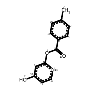 Cc1ccc(C(=O)Oc2cc(O)ccn2)cc1